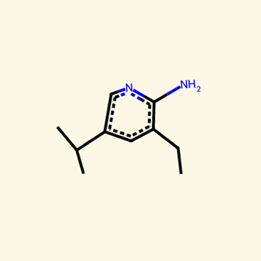 CCc1cc(C(C)C)cnc1N